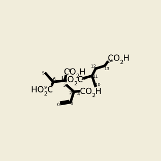 C=CC(C)C(=O)O.CC(CC(=O)O)C(=O)O.CC(CCC(=O)O)C(=O)O